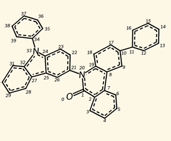 O=c1c2ccccc2c2cc(-c3ccccc3)ccc2n1-c1ccc2c(c1)c1ccccc1n2-c1ccccc1